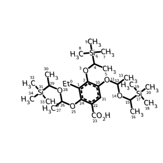 CCc1c(OC(C)[Si](C)(C)C)c(OC(C)OC(C)[Si](C)(C)C)cc(C(=O)O)c1OC(C)OC(C)[Si](C)(C)C